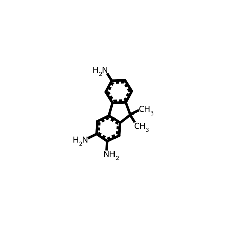 CC1(C)c2ccc(N)cc2-c2cc(N)c(N)cc21